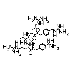 CC(C)[C@H](NN[C@@H](CCCNC(N)N)C(=O)NCc1ccc(C(=N)N)cc1)C(=O)N[C@@H](CCCNC(N)N)C(=O)C(=O)Cc1ccc(CNC(=N)N)cc1